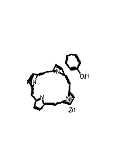 C1=Cc2cc3ccc(cc4nc(cc5ccc(cc1n2)[nH]5)C=C4)[nH]3.Oc1ccccc1.[Zn]